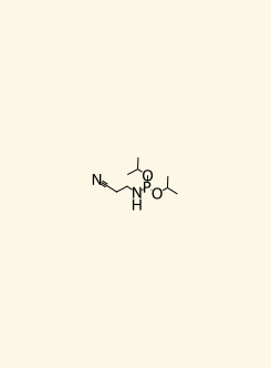 CC(C)OP(NCCC#N)OC(C)C